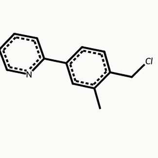 Cc1cc(-c2ccccn2)ccc1CCl